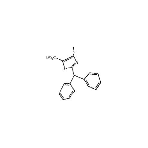 CCOC(=O)c1sc(C(c2ccccc2)c2ccccc2)nc1C